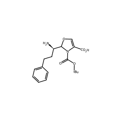 CC(C)(C)OC(=O)N1C(C(=O)O)=COC1[C@H](N)CCc1ccccc1